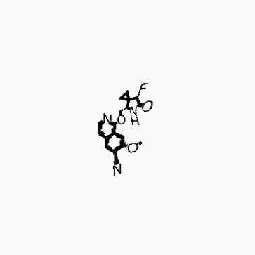 COc1cc2c(OC[C@@H]3NC(=O)[C@H](F)C34CC4)nccc2cc1C#N